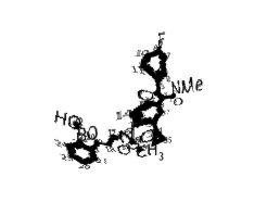 CNC(=O)c1c(-c2ccc(F)cc2)oc2cc(N(CC[C@@H]3OB(O)c4ccccc43)S(C)(=O)=O)c(C3CC3)cc12